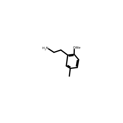 COc1ccc(C)cc1CCN